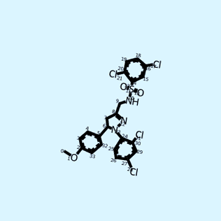 COc1ccc(C2CC(CNS(=O)(=O)c3cc(Cl)ccc3Cl)=NN2c2ccc(Cl)cc2Cl)cc1